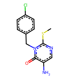 CSc1ncc(N)c(=O)n1Cc1ccc(Cl)cc1